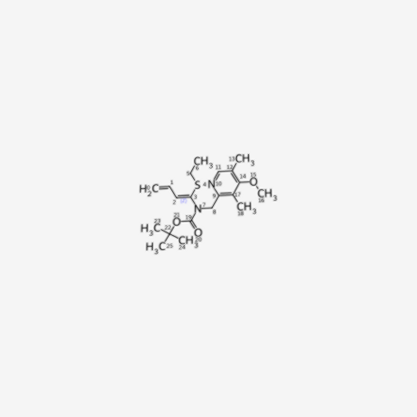 C=C/C=C(\SCC)N(Cc1ncc(C)c(OC)c1C)C(=O)OC(C)(C)C